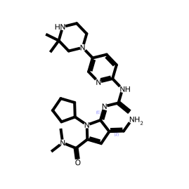 C=C(/N=C1\C(=C/N)C=C(C(=O)N(C)C)N1C1CCCC1)Nc1ccc(N2CCNC(C)(C)C2)cn1